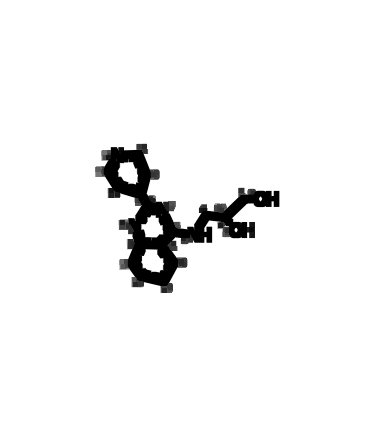 OC[C@@H](O)CNc1nc(-c2ccncc2)nc2ccccc12